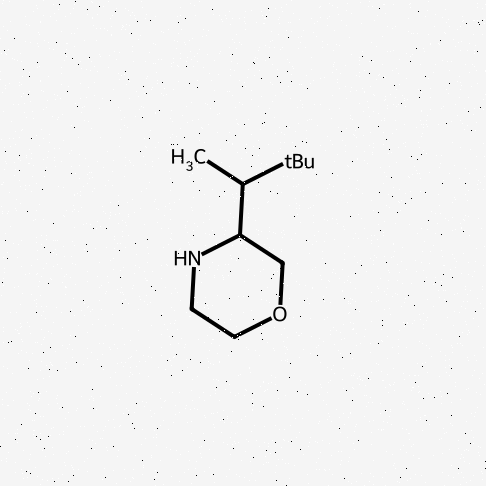 CC(C1COCCN1)C(C)(C)C